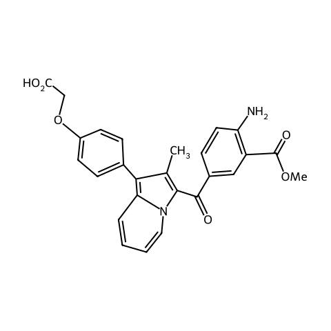 COC(=O)c1cc(C(=O)c2c(C)c(-c3ccc(OCC(=O)O)cc3)c3ccccn23)ccc1N